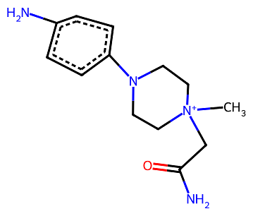 C[N+]1(CC(N)=O)CCN(c2ccc(N)cc2)CC1